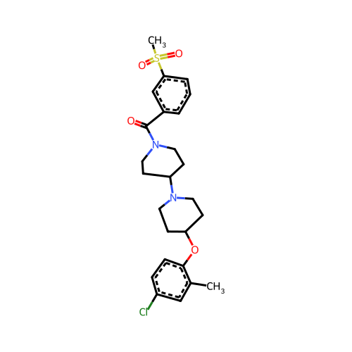 Cc1cc(Cl)ccc1OC1CCN(C2CCN(C(=O)c3cccc(S(C)(=O)=O)c3)CC2)CC1